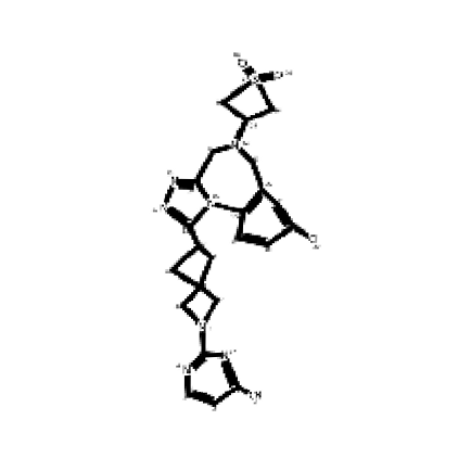 N#Cc1ccnc(N2CC3(CC(c4nnc5n4-c4ccc(Cl)cc4CN(C4CS(=O)(=O)C4)C5)C3)C2)n1